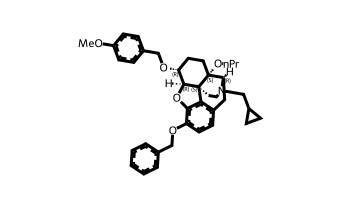 CCCO[C@@]12CC[C@@H](OCc3ccc(OC)cc3)[C@@H]3Oc4c(OCc5ccccc5)ccc5c4[C@@]31CCN(CC1CC1)[C@@H]2C5